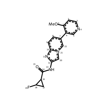 COc1ccncc1-c1ccc2nc(NC(=O)C3CC3F)cn2c1